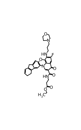 CCOC(=O)CCNC(=O)c1cn2c3c(c(NCCCN4CCOCC4)c(F)cc3c1=O)Oc1cc3c(cc1-2)C1=C(C=CCC1)C3